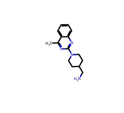 Cc1nc(N2CCC(CN)CC2)nc2ccccc12